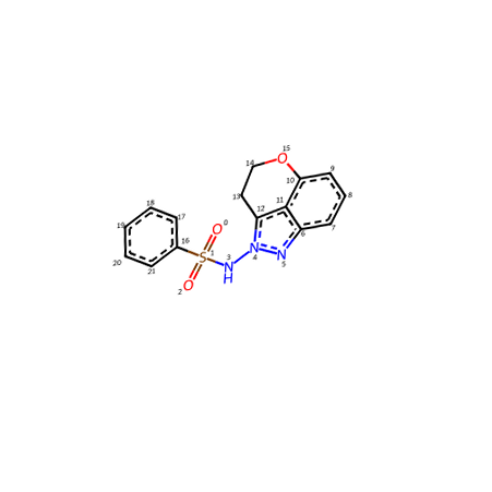 O=S(=O)(Nn1nc2cccc3c2c1CCO3)c1ccccc1